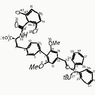 CCOC(=O)[C@H](Cc1ccc(-c2c(OC)cc(CO[Si](c3ccccc3)(c3ccccc3)C(C)(C)C)cc2OC)cc1)NC(=O)c1c(Cl)cccc1Cl